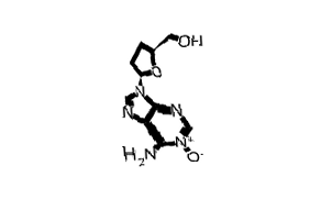 Nc1c2ncn([C@H]3CC[C@@H](CO)O3)c2nc[n+]1[O-]